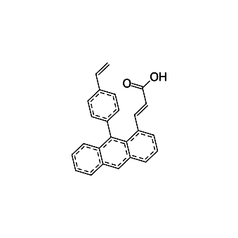 C=Cc1ccc(-c2c3ccccc3cc3cccc(C=CC(=O)O)c23)cc1